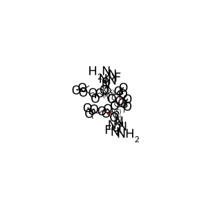 C#C[C@]1(COC(=O)OCc2oc(=O)oc2C)O[C@@H](n2cnc3c(N)nc(F)nc32)C[C@H]1C(OC(=O)OC(c1oc(=O)oc1C)[C@@H]1C[C@H](n2cnc3c(N)nc(F)nc32)O[C@]1(C#C)COC(=O)OCc1oc(=O)oc1C)c1oc(=O)oc1C